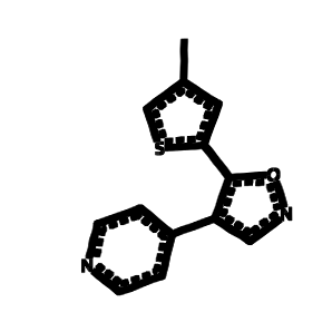 Cc1csc(-c2oncc2-c2ccncc2)c1